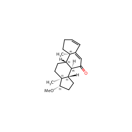 CO[C@H]1CC[C@H]2[C@@H]3C(=O)C=C4C=CCC[C@]4(C)[C@H]3CC[C@]12C